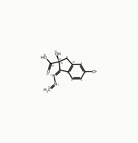 C=NN=C1c2ccc(Cl)cc2C[C@@]1(O)C(=O)O